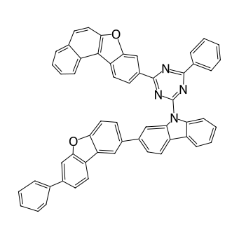 c1ccc(-c2ccc3c(c2)oc2ccc(-c4ccc5c6ccccc6n(-c6nc(-c7ccccc7)nc(-c7ccc8c(c7)oc7ccc9ccccc9c78)n6)c5c4)cc23)cc1